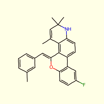 CC1=CC(C)(C)Nc2ccc3c(c21)/C(=C/c1cccc(C)c1)Oc1ccc(F)cc1-3